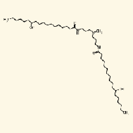 CCCCCCC(O)CCCCCCCCCCC(=O)NCCCN(C)CCCNC(=O)CCCCCCCCCCC(O)CCCCCC